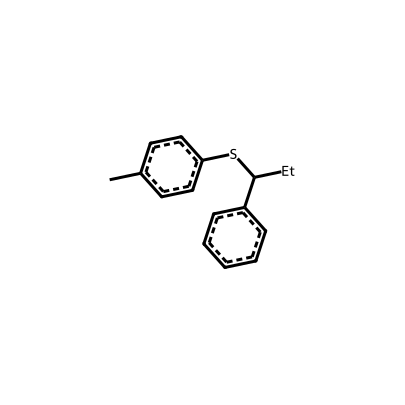 CCC(Sc1ccc(C)cc1)c1ccccc1